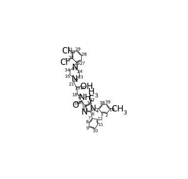 Cc1ccc(-n2c(-c3ccccc3)nc(C(=O)NCC(O)CN3CCN(c4cccc(Cl)c4Cl)CC3)c2C)cc1